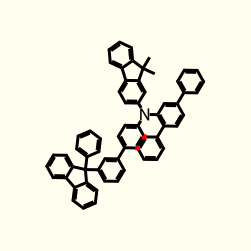 CC1(C)c2ccccc2-c2ccc(N(c3ccc(-c4cccc(C5(c6ccccc6)c6ccccc6-c6ccccc65)c4)cc3)c3cc(-c4ccccc4)ccc3-c3ccccc3)cc21